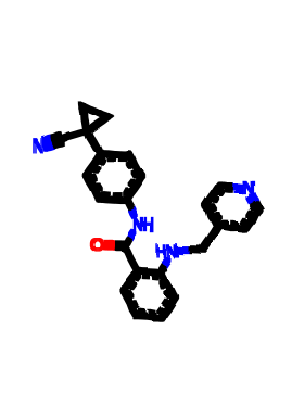 N#CC1(c2ccc(NC(=O)c3ccccc3NCc3ccncc3)cc2)CC1